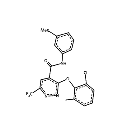 CSc1cccc(NC(=O)c2cc(C(F)(F)F)nnc2Oc2c(C)cccc2Cl)c1